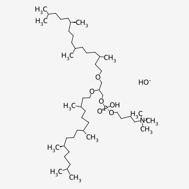 CC(C)CCC[C@@H](C)CCCC(C)CCCC(C)CCOCC(COP(=O)(O)OCCCC[N+](C)(C)C)OCCC(C)CCCC(C)CCC[C@H](C)CCCC(C)C.[OH-]